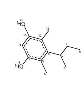 CCC(C)c1c(C)c(O)cc(O)c1C